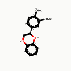 COc1cc([C@@H]2COc3ccccc3O2)ccc1OC(C)=O